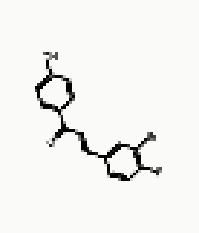 O=C(C=Cc1ccc(F)c(Br)c1)c1ccc(O)cc1